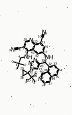 CC(C)(C)CNc1c(C#N)cnc2c(C#N)cc(N[C@H](c3cn(C4(C(F)(F)F)CC4)nn3)c3cccc4ccncc34)cc12